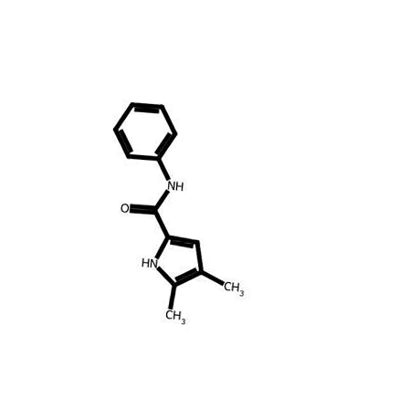 Cc1cc(C(=O)Nc2ccccc2)[nH]c1C